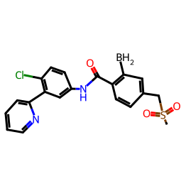 Bc1cc(CS(C)(=O)=O)ccc1C(=O)Nc1ccc(Cl)c(-c2ccccn2)c1